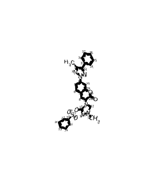 Cc1nn(-c2ccc3cc(N4CN(C)N=C4OS(=O)(=O)c4ccccc4)c(=O)oc3c2)nc1-c1ccccc1